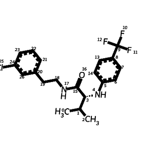 CC(C)[C@@H](Nc1ccc(C(F)(F)F)cc1)C(=O)NCCc1cccc(Cl)c1